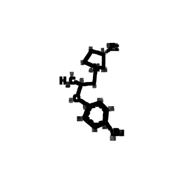 CC[C@H]1CCN(CC(C)Oc2ccc(C(C)(C)C)cc2)C1